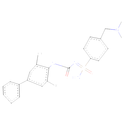 CC(C)c1cc(-c2ccccc2)cc(C(C)C)c1NC(=O)N=S(N)(=O)c1ccc(CN(C)C)cc1